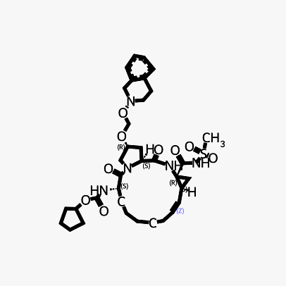 CS(=O)(=O)NC(=O)[C@@]12C[C@H]1/C=C\CCCCC[C@H](NC(=O)OC1CCCC1)C(=O)N1C[C@H](OCON3CCc4ccccc4C3)C[C@H]1C(=O)N2